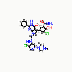 C[C@H]1CN(C)CCN1c1cc(NCCn2cc(-c3cc(Cl)c(O)c(C(N)=O)c3)c3c(=O)[nH]c(-c4ccccc4)nc32)c(Cl)cn1